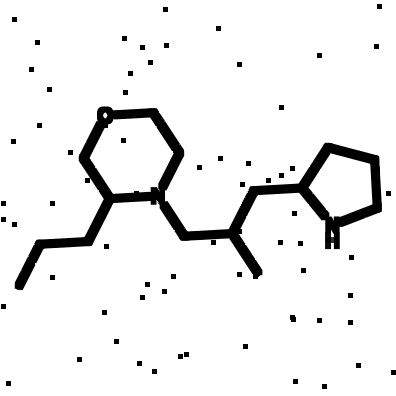 CCCC1COCCN1CC(C)CC1CCCN1